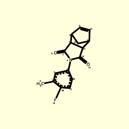 Cc1cc(N2C(=O)C3C4C=CC(C4)C3C2=O)ccc1F